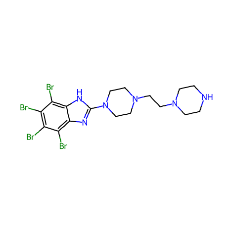 Brc1c(Br)c(Br)c2[nH]c(N3CCN(CCN4CCNCC4)CC3)nc2c1Br